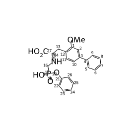 COc1cc(-c2ccccc2)ccc1C[C@H](NCP(=O)(O)Oc1ccccc1)C(=O)O